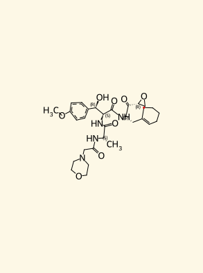 COc1ccc([C@@H](O)[C@H](NC(=O)[C@H](C)NC(=O)CN2CCOCC2)C(=O)N[C@@H](CC2=CCCCC2)C(=O)[C@H]2CO2)cc1